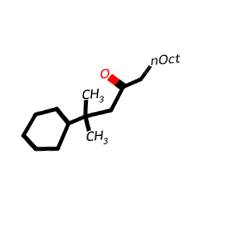 CCCCCCCCCC(=O)CC(C)(C)C1CCCCC1